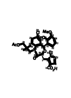 CCn1ncc(C(=O)O)c1C[C@H]1O[C@H](c2cccc(OC)c2OC)c2cc(Cl)ccc2N(CC(C)(C)COC(C)=O)C1=O